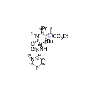 CCOC(=O)/C(C)=C/C(C(C)C)N(C)C(=O)[C@H](NC(=O)[C@@H]1CCCCN1C)C(C)(C)C